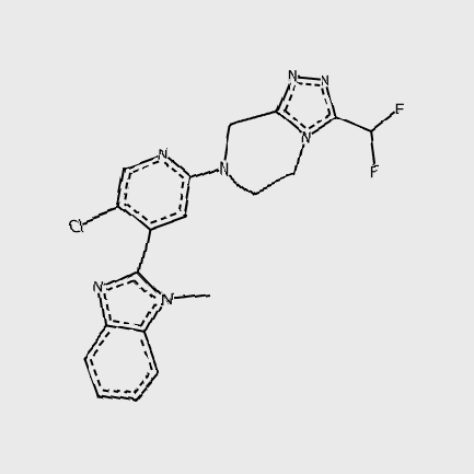 Cn1c(-c2cc(N3CCn4c(nnc4C(F)F)C3)ncc2Cl)nc2ccccc21